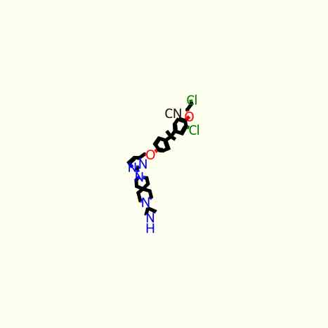 CC(C)(c1ccc(OCc2ccnc(N3CCC4(CC3)CCN(C3CNC3)CC4)n2)cc1)c1cc(Cl)c(OCCCl)c(C#N)c1